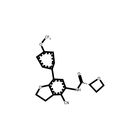 N#Cc1c(NC(=O)[C@H]2CCO2)cc(-c2ccc(OC(F)(F)F)cc2)c2c1CCO2